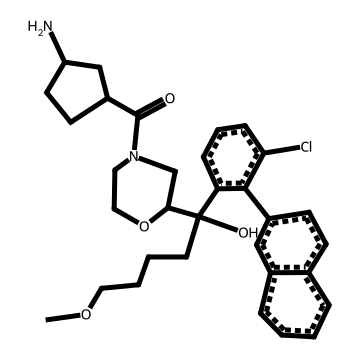 COCCCCC(O)(c1cccc(Cl)c1-c1ccc2ccccc2c1)C1CN(C(=O)C2CCC(N)C2)CCO1